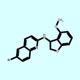 COc1cccc2c1C(Nc1ccc3cc(Br)ccc3n1)CO2